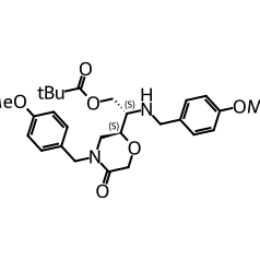 COc1ccc(CN[C@@H](COC(=O)C(C)(C)C)[C@@H]2CN(Cc3ccc(OC)cc3)C(=O)CO2)cc1